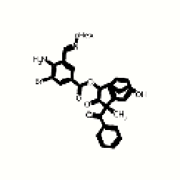 CCCCCCN=Cc1cc(C(=O)OC(CCCO)C(=O)C(C)(C(=O)c2ccccc2)c2ccccc2)cc(Br)c1N